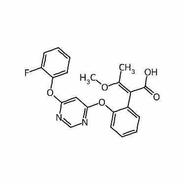 CO/C(C)=C(/C(=O)O)c1ccccc1Oc1cc(Oc2ccccc2F)ncn1